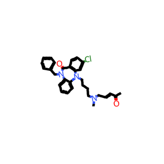 CC(=O)/C=C/CN(C)CCCCN1c2cc(Cl)ccc2C(=O)N(Cc2ccccc2)c2ccccc21